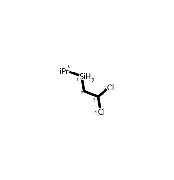 CC(C)[SiH2]CC(Cl)Cl